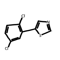 Clc1ccc(Cl)c(-c2cn[c]s2)c1